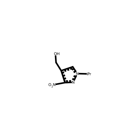 CC(C)n1cc(CO)c([N+](=O)[O-])n1